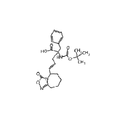 CC(C)(C)OC(=O)NC(CC=CC1CCCCc2noc(=O)n21)(Cc1ccccc1)C(=O)O